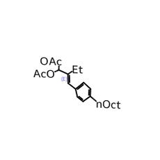 CCCCCCCCc1ccc(/C=C(\CC)C(OC(C)=O)OC(C)=O)cc1